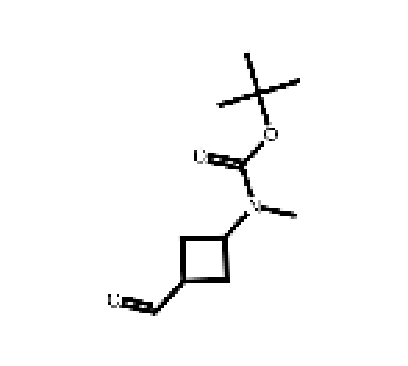 CN(C(=O)OC(C)(C)C)C1CC(C=O)C1